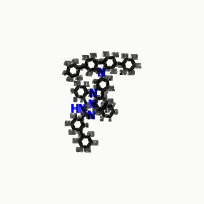 c1ccc(C2=NC(c3ccccc3-n3c4ccccc4c4ccc(-n5c6cc(-c7ccccc7)ccc6c6ccc(-c7ccccc7)cc65)cc43)NC(c3cccc(-c4ccccc4)c3)=N2)cc1